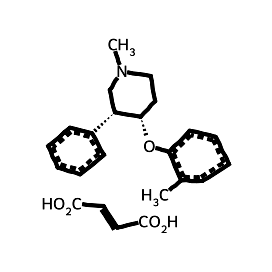 Cc1ccccc1O[C@H]1CCN(C)C[C@H]1c1ccccc1.O=C(O)C=CC(=O)O